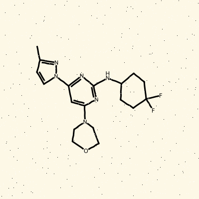 Cc1ccn(-c2cc(N3CCOCC3)nc(NC3CCC(F)(F)CC3)n2)n1